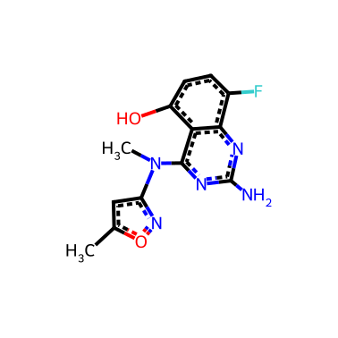 Cc1cc(N(C)c2nc(N)nc3c(F)ccc(O)c23)no1